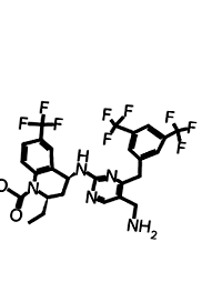 CC[C@@H]1C[C@H](Nc2ncc(CN)c(Cc3cc(C(F)(F)F)cc(C(F)(F)F)c3)n2)c2cc(C(F)(F)F)ccc2N1C(=O)O